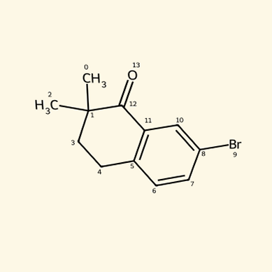 CC1(C)CCc2ccc(Br)cc2C1=O